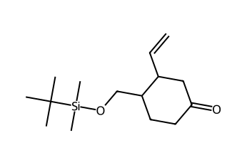 C=CC1CC(=O)CCC1CO[Si](C)(C)C(C)(C)C